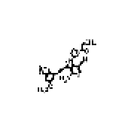 C=CC(=O)N1CCC(n2nc(C#Cc3cc(OC)cc(OC)c3)c3c(N)ncc(C#N)c32)C1